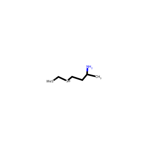 CS[CH2][Sn][CH2]CC(C)N